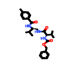 Cc1ccc(C(=O)N[C@H](CNC(=O)[C@@H](NC(=O)OCc2ccccc2)C(C)C)C(C)C)cc1